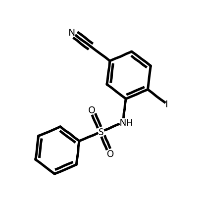 N#Cc1ccc(I)c(NS(=O)(=O)c2ccccc2)c1